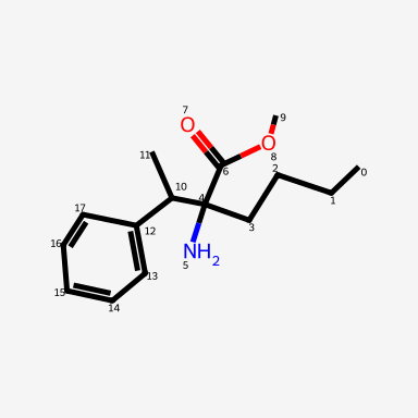 CCCCC(N)(C(=O)OC)C(C)c1ccccc1